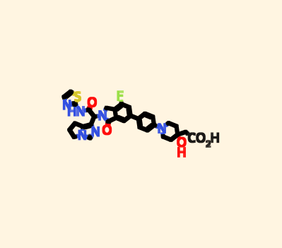 O=C(O)CC1(O)CCN(c2ccc(-c3cc(F)c4c(c3)C(=O)N(C(C(=O)Nc3nccs3)c3ncn5c3CCC5)C4)cc2)CC1